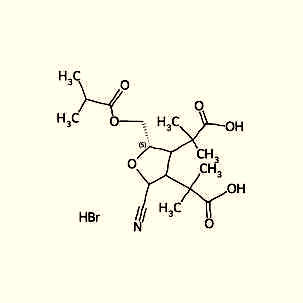 Br.CC(C)C(=O)OC[C@H]1OC(C#N)C(C(C)(C)C(=O)O)C1C(C)(C)C(=O)O